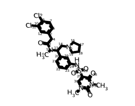 CN(C(=O)Cc1ccc(Cl)c(Cl)c1)C(CN1CCCC1)c1cccc(NS(=O)(=O)c2cn(C)c(=O)n(C)c2=O)c1